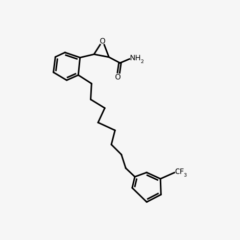 NC(=O)C1OC1c1ccccc1CCCCCCCCc1cccc(C(F)(F)F)c1